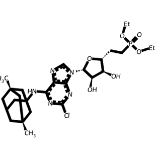 CCOP(=O)(CC[C@H]1O[C@@H](n2cnc3c(NC45CC6C[C@@](C)(C4)C[C@](C)(C6)C5)nc(Cl)nc32)[C@H](O)[C@@H]1O)OCC